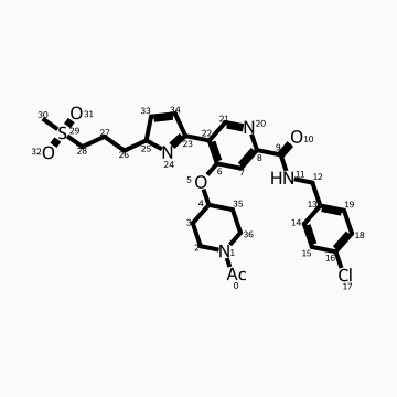 CC(=O)N1CCC(Oc2cc(C(=O)NCc3ccc(Cl)cc3)ncc2C2=NC(CCCS(C)(=O)=O)C=C2)CC1